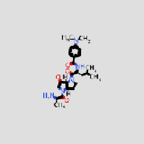 CC(C)C[C@H](NC(=O)c1ccc(N(C)C)cc1)C(=O)N1CC[C@@H]2[C@H]1C(=O)CN2C(=O)[C@@H](C)N